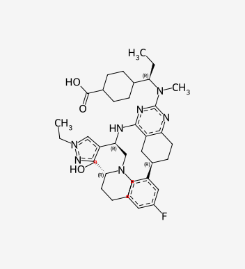 CC[C@H](C1CCC(C(=O)O)CC1)N(C)c1nc2c(c(N[C@@H](CN3CCCC[C@@H]3CO)c3cnn(CC)c3)n1)C[C@H](c1cccc(F)c1)CC2